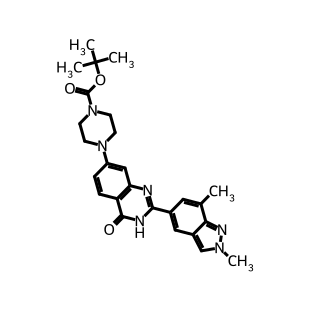 Cc1cc(-c2nc3cc(N4CCN(C(=O)OC(C)(C)C)CC4)ccc3c(=O)[nH]2)cc2cn(C)nc12